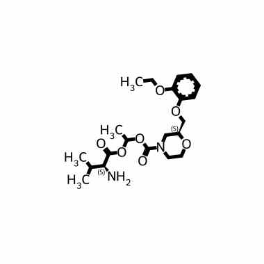 CCOc1ccccc1OC[C@@H]1CN(C(=O)OC(C)OC(=O)[C@@H](N)C(C)C)CCO1